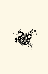 CCC[C@@H](NC(=O)N1CC(=NOCC)NC[C@H](Cc2cc(F)c(F)cc2OC)C1=O)c1ccc(C(O)C(=O)c2ccccc2)c(N)c1